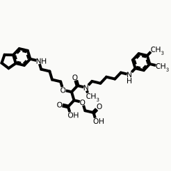 Cc1ccc(NCCCCCN(C)C(=O)C(OCCCCNc2ccc3c(c2)CCC3)C(OCC(=O)O)C(=O)O)cc1C